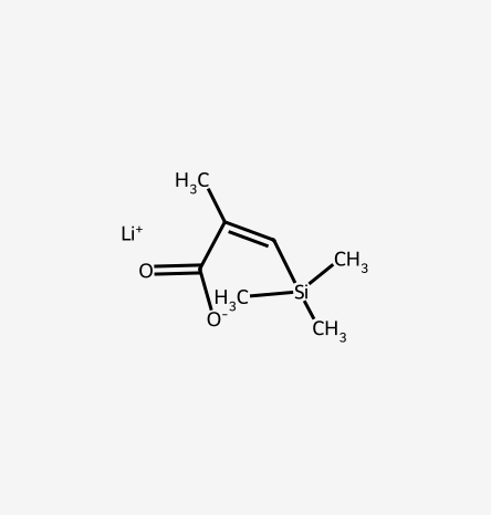 CC(=C[Si](C)(C)C)C(=O)[O-].[Li+]